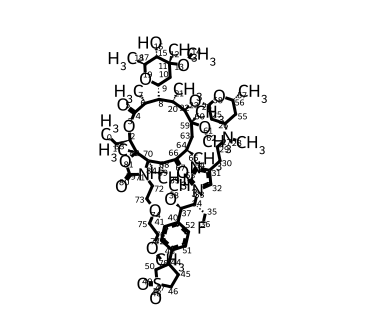 CC[C@H]1OC(=O)[C@H](C)C([C@H]2C[C@@](C)(OC)[C@@H](O)[C@H](C)O2)[C@H](C)[C@@H](O[C@H]2C[C@@H](N(C)CCc3cn([C@H](CF)[C@H](OC)c4ccc(C5CCS(=O)(=O)C5)cc4)nn3)C[C@@H](C)O2)[C@](C)(OC)C[C@@H](C)C(=O)[C@H](C)[C@H]2N(CCOCCOC)C(=O)O[C@]12C